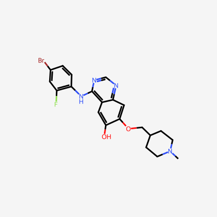 CN1CCC(COc2cc3ncnc(Nc4ccc(Br)cc4F)c3cc2O)CC1